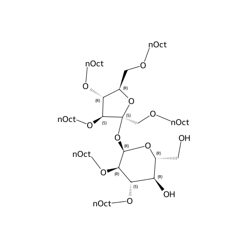 CCCCCCCCOC[C@H]1O[C@@](COCCCCCCCC)(O[C@H]2O[C@H](CO)[C@@H](O)[C@H](OCCCCCCCC)[C@H]2OCCCCCCCC)[C@@H](OCCCCCCCC)[C@@H]1OCCCCCCCC